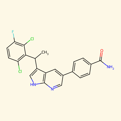 CC(c1c(Cl)ccc(F)c1Cl)c1c[nH]c2ncc(-c3ccc(C(N)=O)cc3)cc12